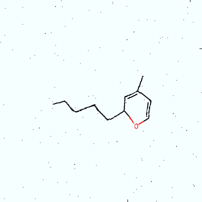 CCCCCC1C=C(C)C=CO1